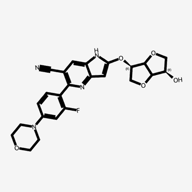 N#Cc1cc2[nH]c(O[C@@H]3COC4C3OC[C@H]4O)cc2nc1-c1ccc(N2CCOCC2)cc1F